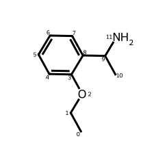 CCOc1ccccc1C(C)N